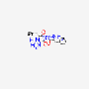 CC(C)CC(N)C(=O)N(NC(=O)C(N)Cc1ccccc1)C(=O)CN